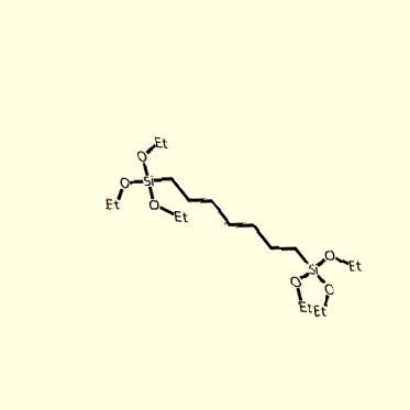 CCO[Si](CCC[CH]CCC[Si](OCC)(OCC)OCC)(OCC)OCC